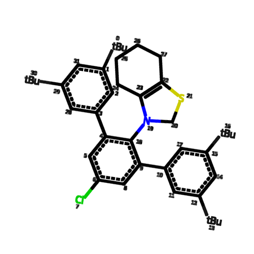 CC(C)(C)c1cc(-c2cc(Cl)cc(-c3cc(C(C)(C)C)cc(C(C)(C)C)c3)c2N2CSC3=C2CCCC3)cc(C(C)(C)C)c1